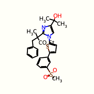 CCOC(=O)C(C)(Cc1ccccc1)c1nc(C(C)(C)O)cn1-c1ccc(-c2cccc(S(C)(=O)=O)c2)s1